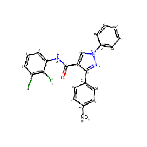 O=C(Nc1cccc(F)c1F)c1cn(-c2ccccc2)nc1-c1ccc([N+](=O)[O-])cc1